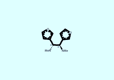 CN[C@H](c1ccoc1)[C@H](NC)c1ccoc1